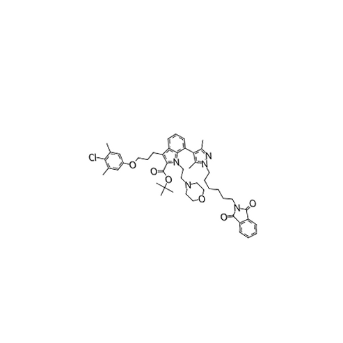 Cc1cc(OCCCc2c(C(=O)OC(C)(C)C)n(CCN3CCOCC3)c3c(-c4c(C)nn(CCCCCCN5C(=O)c6ccccc6C5=O)c4C)cccc23)cc(C)c1Cl